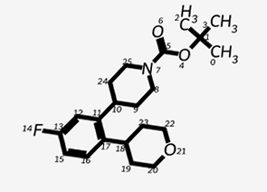 CC(C)(C)OC(=O)N1CCC(c2cc(F)ccc2C2CCOCC2)CC1